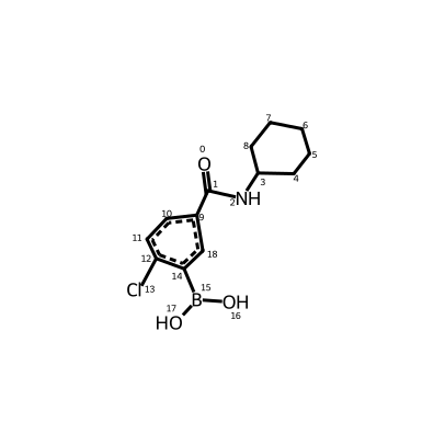 O=C(NC1CCCCC1)c1ccc(Cl)c(B(O)O)c1